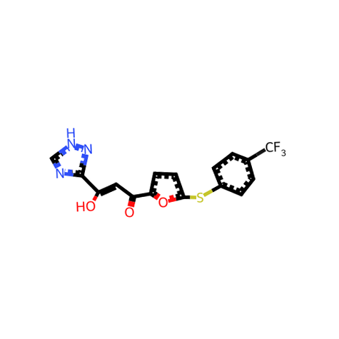 O=C(C=C(O)c1nc[nH]n1)c1ccc(Sc2ccc(C(F)(F)F)cc2)o1